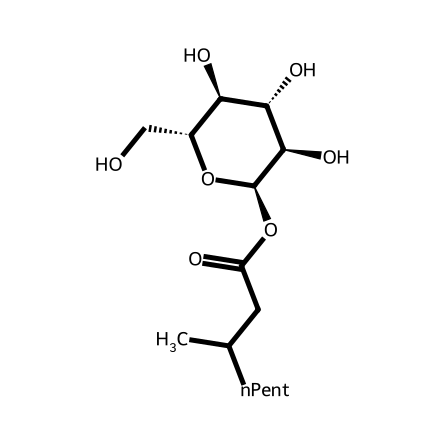 CCCCCC(C)CC(=O)O[C@H]1O[C@H](CO)[C@@H](O)[C@H](O)[C@H]1O